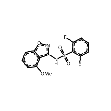 COc1cccc2onc(NS(=O)(=O)c3c(F)cccc3F)c12